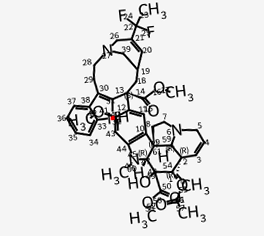 CC[C@]12C=CCN3CC[C@@]4(c5cc([C@@]6(C(=O)OC)CC7C=C(C(C)(F)F)CN(CCc8c6[nH]c6ccccc86)C7)c(OC)cc5N(C)[C@H]4C(O)(C(=O)OC)[C@@H]1OC(C)=O)[C@@H]32